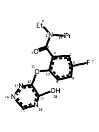 CCN(C(=O)c1cc(F)ccc1Oc1nncnc1O)C(C)C